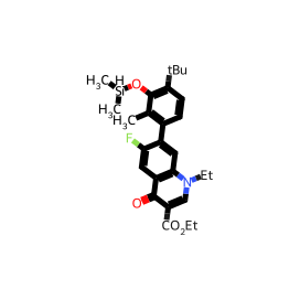 CCOC(=O)c1cn(CC)c2cc(-c3ccc(C(C)(C)C)c(O[SiH](C)C)c3C)c(F)cc2c1=O